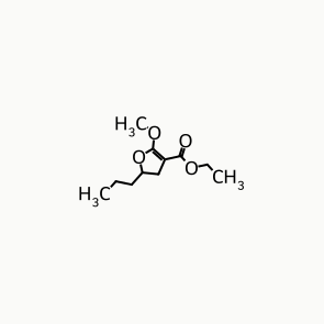 CCCC1CC(C(=O)OCC)=C(OC)O1